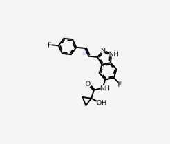 O=C(Nc1cc2c(/C=C/c3ccc(F)cc3)n[nH]c2cc1F)C1(O)CC1